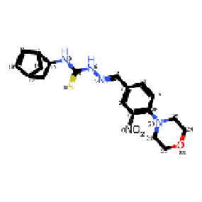 O=[N+]([O-])c1cc(/C=N/NC(=S)NC2CC3C=CC2C3)ccc1N1CCOCC1